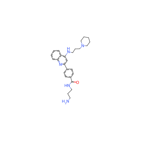 NCCCNC(=O)c1ccc(-c2cc(NCCCN3CCCCC3)c3ccccc3n2)cc1